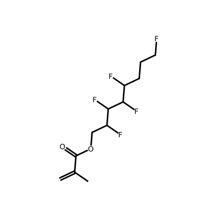 C=C(C)C(=O)OCC(F)C(F)C(F)C(F)CCCF